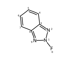 Fn1nc2ccccc2n1